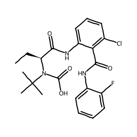 CC[C@@H](C(=O)Nc1cccc(Cl)c1C(=O)Nc1ccccc1F)N(C(=O)O)C(C)(C)C